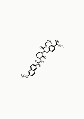 CCOC(=O)C(Cc1ccc(C(=N)N)cc1)N1CCCC(NS(=O)(=O)c2ccc3cc(OC)ccc3c2)C1=O